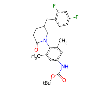 Cc1cc(NC(=O)OC(C)(C)C)cc(C)c1N1CC(Cc2ccc(F)cc2F)CCC1=O